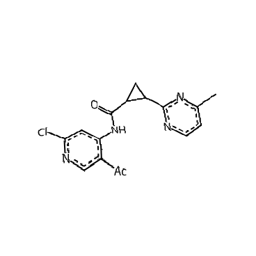 CC(=O)c1cnc(Cl)cc1NC(=O)C1CC1c1nccc(C)n1